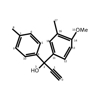 C#CC(O)(c1ccc(C)cc1)c1ccc(OC)c(C)c1